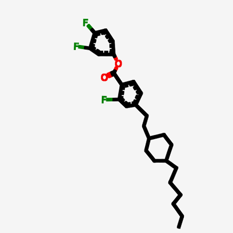 CCCCCCC1CCC(CCc2ccc(C(=O)Oc3ccc(F)c(F)c3)c(F)c2)CC1